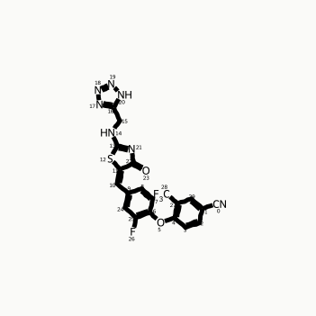 N#Cc1ccc(Oc2ccc(C=C3SC(NCc4nnn[nH]4)=NC3=O)cc2F)c(C(F)(F)F)c1